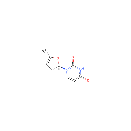 CC1=CC[C@H](n2ccc(=O)[nH]c2=O)O1